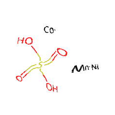 O=S(=O)(O)O.[Co].[Mn].[Ni]